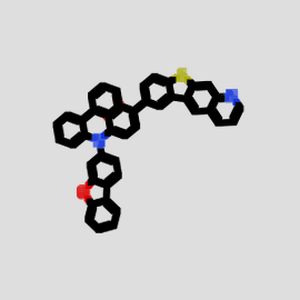 c1ccc(-c2ccccc2N(c2ccc(-c3ccc4sc5cc6ncccc6cc5c4c3)cc2)c2ccc3c(c2)oc2ccccc23)cc1